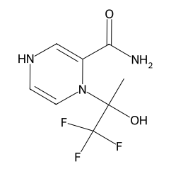 CC(O)(N1C=CNC=C1C(N)=O)C(F)(F)F